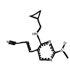 C[S+]([O-])c1ncc(C=CC#N)c(NCC2CC2)n1